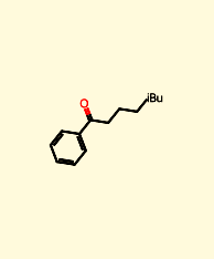 [CH2]C(CC)CCCC(=O)c1ccccc1